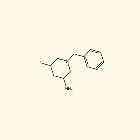 NC1CC(F)CN(Cc2ccccc2)C1